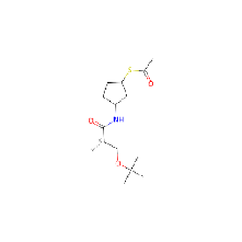 CC(=O)SC1CCC(NC(=O)[C@@H](C)COC(C)(C)C)C1